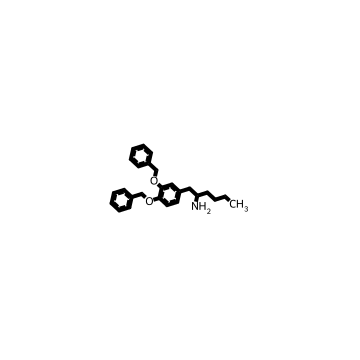 CCCCC(N)Cc1ccc(OCc2ccccc2)c(OCc2ccccc2)c1